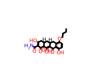 CCCCOc1ccc(O)c2c1C[C@H]1C[C@H]3CC(O)=C(C(N)=O)C(=O)[C@@]3(O)C(O)=C1C2=O